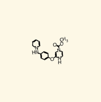 COC(=O)N1C=CNC(Oc2ccc(NN3C=CC=CC3)cc2)=C1